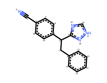 N#Cc1ccc(C(Cc2ccccc2)c2nc[nH]n2)cc1